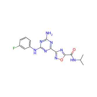 CC(C)NC(=O)c1nc(-c2nc(N)nc(Nc3cccc(F)c3)n2)no1